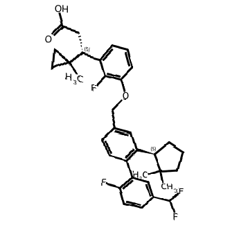 CC1(C)CCC[C@@H]1c1cc(COc2cccc([C@@H](CC(=O)O)C3(C)CC3)c2F)ccc1-c1cc(C(F)F)ccc1F